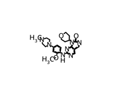 COc1cc(N2CCN(C)CC2)ccc1Nc1ncc2cnc(=O)n(C3CCOCC3)c2n1